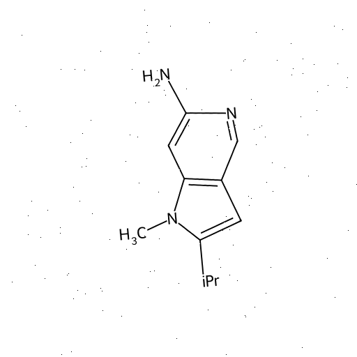 CC(C)c1cc2cnc(N)cc2n1C